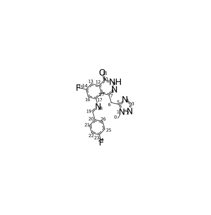 Cn1ncnc1Cc1n[nH]c(=O)c2cc(F)cc(N=Cc3ccc(F)cc3)c12